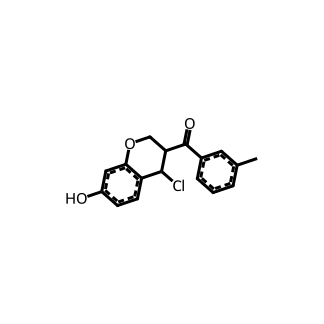 Cc1cccc(C(=O)C2COc3cc(O)ccc3C2Cl)c1